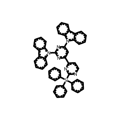 c1ccc([Si](c2ccccc2)(c2ccccc2)c2nccc(-c3cc(-n4c5ccccc5c5ccccc54)nc(-n4c5ccccc5c5ccccc54)n3)n2)cc1